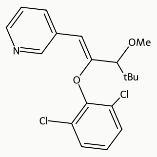 COC(C(=Cc1cccnc1)Oc1c(Cl)cccc1Cl)C(C)(C)C